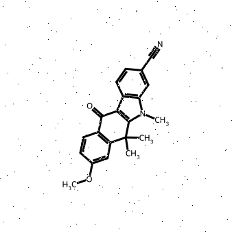 COc1ccc2c(c1)C(C)(C)c1c(c3ccc(C#N)cc3n1C)C2=O